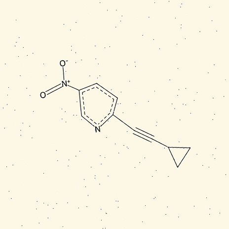 O=[N+]([O-])c1ccc(C#CC2CC2)nc1